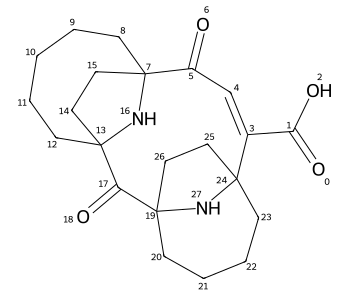 O=C(O)/C1=C/C(=O)C23CCCCCC(CC2)(N3)C(=O)C23CCCCC1(CC2)N3